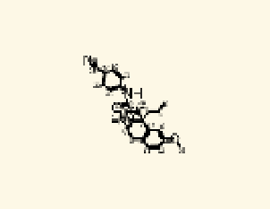 CCC[C@@]12CCN(C)C(Cc3ccc(OC)cc31)[C@@H]2N(C)C(=O)Nc1ccc(C#N)cc1